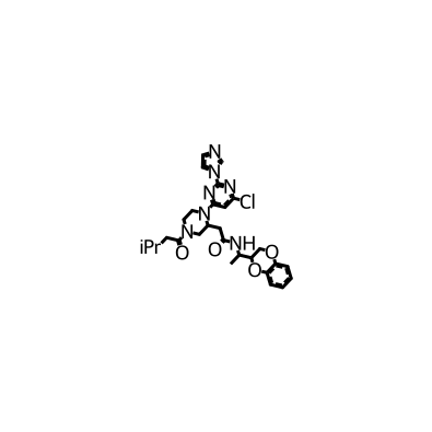 CC(C)CC(=O)N1CCN(c2cc(Cl)nc(-n3ccnc3)n2)C(CC(=O)NC(C)C2COc3ccccc3O2)C1